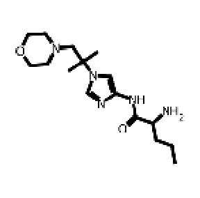 CCCC(N)C(=O)Nc1cn(C(C)(C)CN2CCOCC2)cn1